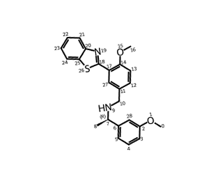 COc1cccc([C@@H](C)NCc2ccc(OC)c(-c3nc4ccccc4s3)c2)c1